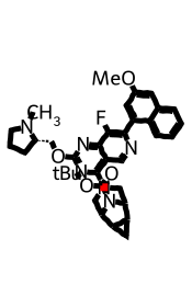 COc1cc(-c2ncc3c(N4CC5C6CC6C(C4)N5C(=O)OC(C)(C)C)nc(OC[C@@H]4CCCN4C)nc3c2F)c2ccccc2c1